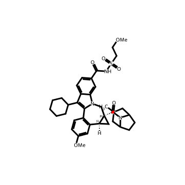 COCCS(=O)(=O)NC(=O)c1ccc2c(C3CCCCC3)c3n(c2c1)C[C@@]1(C(=O)N2C4CCC2CN(C)C4)C[C@H]1c1cc(OC)ccc1-3